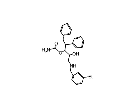 CCc1cccc(CNCC(O)C(OC(N)=O)C(Cc2ccccc2)c2ccccc2)c1